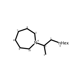 CCCCCCCC(C)N1CCCCCC1